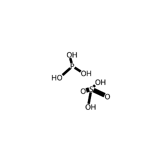 O=S(=O)(O)O.OP(O)O